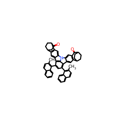 Cc1ccc2ccccc2c1-c1cc(-c2c(C)ccc3ccccc23)c2c3cc4c(cc3n3c5cc6c(cc5c1c23)C1CCC(CC1)C6=O)C(=O)C1CCC4CC1